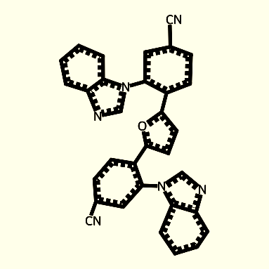 N#Cc1ccc(-c2ccc(-c3ccc(C#N)cc3-n3cnc4ccccc43)o2)c(-n2cnc3ccccc32)c1